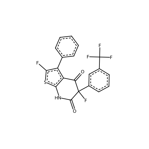 O=C1Nc2sc(F)c(-c3ccccc3)c2C(=O)C1(F)c1cccc(C(F)(F)F)c1